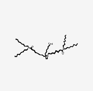 CCCCCCCCN(CCCCCCCC)C(=O)CCCCCCCN1CCC1(CCCCCCO)CCCCCCCC(=O)N(CCCCCCCC)CCCCCCCC